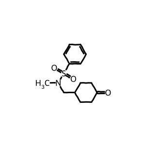 CN(CC1CCC(=O)CC1)S(=O)(=O)c1ccccc1